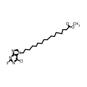 COC(=O)CCCCCCCCCCCCCCCn1cnc2nc(F)nc(Cl)c21